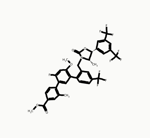 COC(=O)c1ccc(-c2cc(-c3ccc(C(F)(F)F)cc3CN3C(=O)O[C@H](c4cc(C(F)(F)F)cc(C(F)(F)F)c4)[C@@H]3C)c(OC)cc2F)c(C)c1